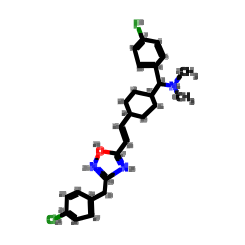 CN(C)C(c1ccc(F)cc1)C1CCC(/C=C/c2nc(Cc3ccc(Cl)cc3)no2)CC1